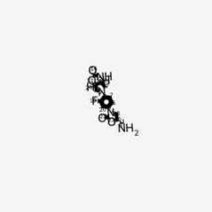 NC[C@H]1CN(c2ccc(N3C[C@@H]4OC(=O)N[C@@H]4C3)c(F)c2)C(=O)O1